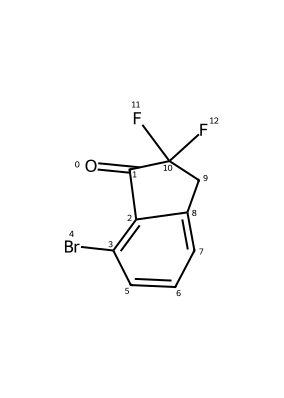 O=C1c2c(Br)cccc2CC1(F)F